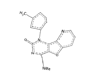 CNc1nc(=O)n(-c2cccc(C)c2)c2c1oc1cccnc12